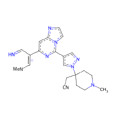 CN/C=C(\C=N)c1cc2nccn2c(-c2cnn(C3(CC#N)CCN(C)CC3)c2)n1